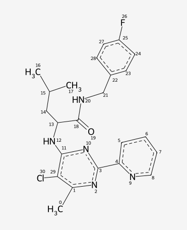 Cc1nc(-c2ccccn2)nc(NC(CC(C)C)C(=O)NCc2ccc(F)cc2)c1Cl